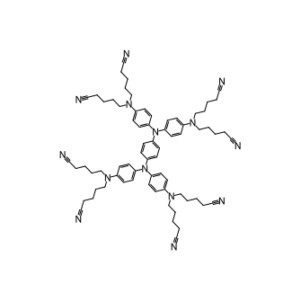 N#CCCCCN(CCCCC#N)c1ccc(N(c2ccc(N(CCCCC#N)CCCCC#N)cc2)c2ccc(N(c3ccc(N(CCCCC#N)CCCCC#N)cc3)c3ccc(N(CCCCC#N)CCCCC#N)cc3)cc2)cc1